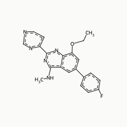 CCOc1cc(-c2ccc(F)cc2)cc2c(NC)nc(-c3ccncn3)nc12